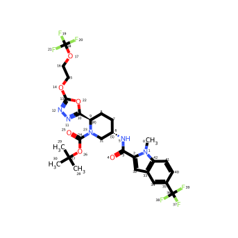 Cn1c(C(=O)N[C@H]2CC[C@H](c3nnc(OCCOC(F)(F)F)o3)N(C(=O)OC(C)(C)C)C2)cc2cc(C(F)(F)F)ccc21